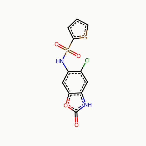 O=c1[nH]c2cc(Cl)c(NS(=O)(=O)c3cccs3)cc2o1